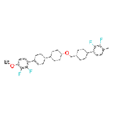 CCOc1ccc(C2=CCC(C3CCC(OCC4CCC(c5ccc(C)c(F)c5F)CC4)CC3)CC2)c(F)c1F